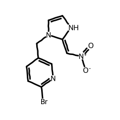 O=[N+]([O-])C=C1NC=CN1Cc1ccc(Br)nc1